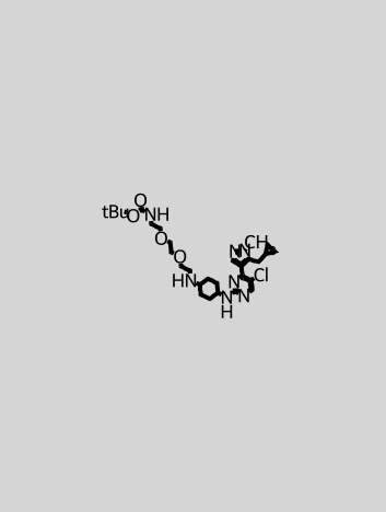 Cn1ncc(-c2nc(NC3CCC(NCCOCCOCCNC(=O)OC(C)(C)C)CC3)ncc2Cl)c1CC1CC1